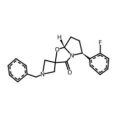 O=C1N2[C@@H](CC[C@H]2c2ccccc2F)OC12CN(Cc1ccccc1)C2